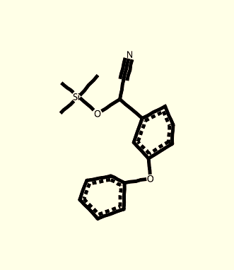 C[Si](C)(C)OC(C#N)c1cccc(Oc2ccccc2)c1